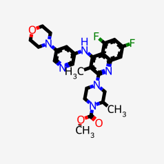 COC(=O)N1CCN(c2nc3cc(F)cc(F)c3c(Nc3cncc(N4CCOCC4)c3)c2C)CC1C